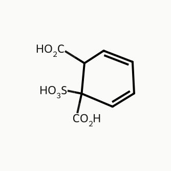 O=C(O)C1C=CC=CC1(C(=O)O)S(=O)(=O)O